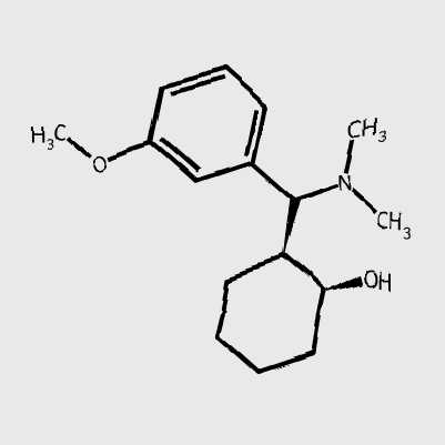 COc1cccc(C([C@@H]2CCCC[C@@H]2O)N(C)C)c1